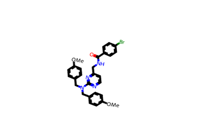 COc1ccc(CN(Cc2ccc(OC)cc2)c2nccc(CNC(=O)c3ccc(Br)cc3)n2)cc1